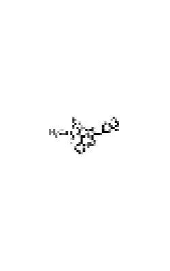 CCOC(=O)C1=C(C)N=c2s/c(=C\c3ccc4c(c3)OCO4)c(=O)n2C1c1ccccc1F